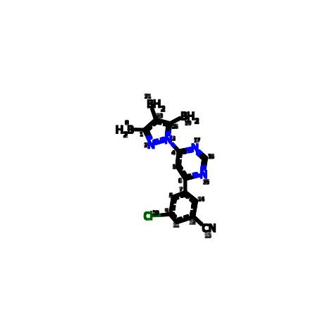 Bc1nn(-c2cc(-c3cc(Cl)cc(C#N)c3)ncn2)c(B)c1B